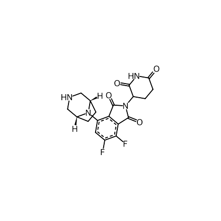 O=C1CCC(N2C(=O)c3c(N4[C@@H]5CC[C@H]4CNC5)cc(F)c(F)c3C2=O)C(=O)N1